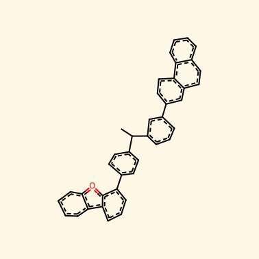 CC(c1ccc(-c2cccc3c2oc2ccccc23)cc1)c1cccc(-c2ccc3c(ccc4ccccc43)c2)c1